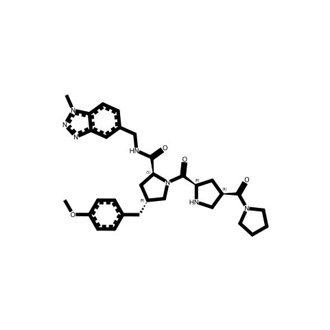 COc1ccc(C[C@@H]2C[C@@H](C(=O)NCc3ccc4c(c3)nnn4C)N(C(=O)[C@H]3C[C@@H](C(=O)N4CCCC4)CN3)C2)cc1